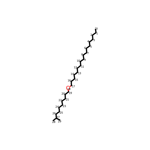 [CH2]CCCCCCCCCCCCCCCCCOCCCCCCCCC(C)C